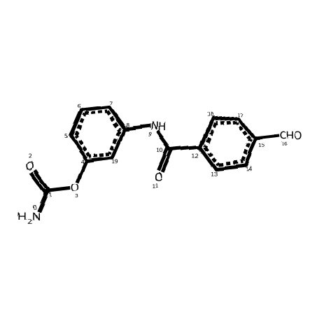 NC(=O)Oc1cccc(NC(=O)c2ccc(C=O)cc2)c1